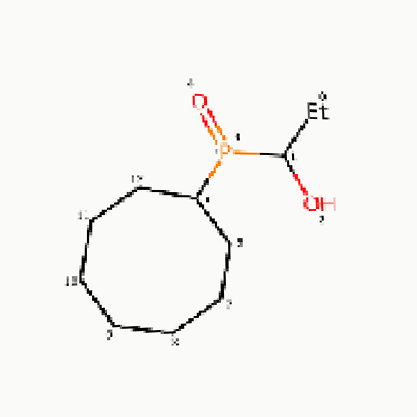 CCC(O)[P](=O)C1CCCCCCC1